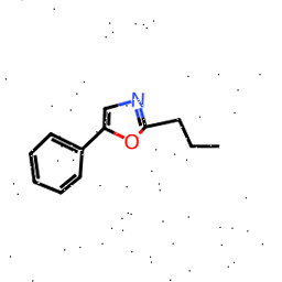 CCCc1ncc(-c2ccccc2)o1